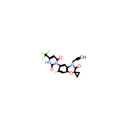 C#CCN1C(=O)C2(CC2)Oc2cc(F)c(-n3c(=O)cc(C(F)(F)F)[nH]c3=O)cc21